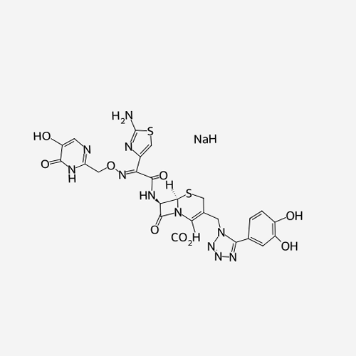 Nc1nc(C(=NOCc2ncc(O)c(=O)[nH]2)C(=O)N[C@@H]2C(=O)N3C(C(=O)O)=C(Cn4nnnc4-c4ccc(O)c(O)c4)CS[C@H]23)cs1.[NaH]